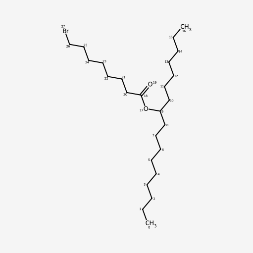 CCCCCCCCCC(CCCCCCC)OC(=O)CCCCCCCBr